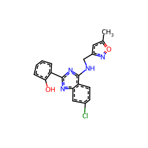 Cc1cc(CNc2nc(-c3ccccc3O)nc3cc(Cl)ccc23)no1